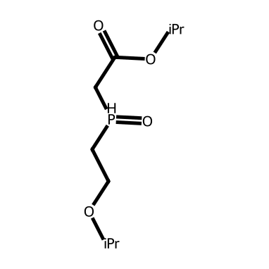 CC(C)OCC[PH](=O)CC(=O)OC(C)C